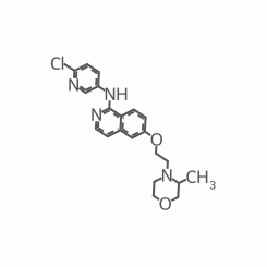 CC1COCCN1CCOc1ccc2c(Nc3ccc(Cl)nc3)nccc2c1